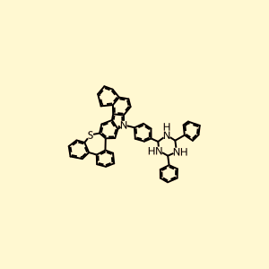 c1ccc(C2NC(c3ccccc3)NC(c3ccc(-n4c5cc6c(cc5c5c7ccccc7ccc54)Sc4ccccc4-c4ccccc4-6)cc3)N2)cc1